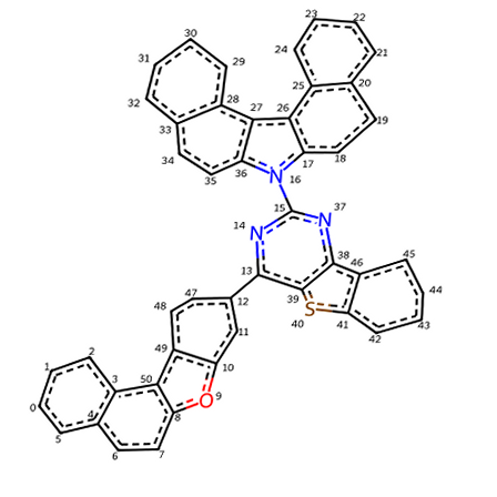 c1ccc2c(c1)ccc1oc3cc(-c4nc(-n5c6ccc7ccccc7c6c6c7ccccc7ccc65)nc5c4sc4ccccc45)ccc3c12